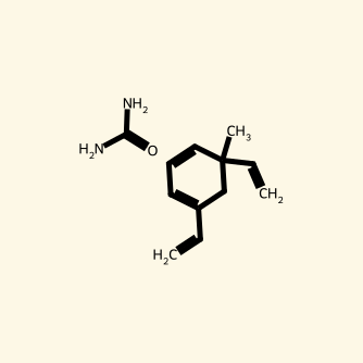 C=CC1=CC=CC(C)(C=C)C1.NC(N)=O